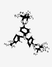 CC(C)(C)c1ccc(N(c2ccc(B3OC(C)(C)C(C)(C)O3)cc2)c2ccc(B3OC(C)(C)C(C)(C)O3)cc2)cc1